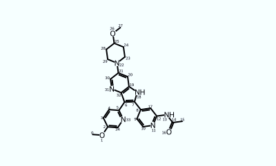 COc1ccc(-c2c(-c3ccnc(NC(C)=O)c3)[nH]c3cc(N4CCC(OC)CC4)cnc23)nc1